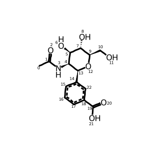 CC(=O)N[C@H]1[C@@H](O)[C@H](O)[C@@H](CO)O[C@H]1c1cccc(C(=O)O)c1